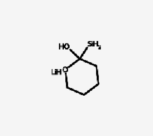 OC1([SiH3])CCCCO1.[LiH]